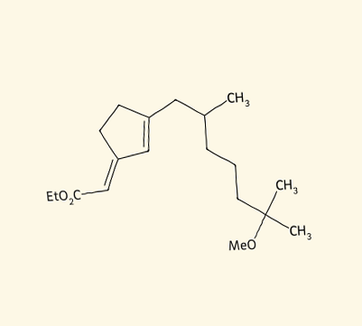 CCOC(=O)/C=C1/C=C(CC(C)CCCC(C)(C)OC)CC1